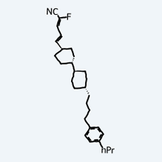 CCCc1ccc(CCCC[C@H]2CC[C@H]([C@H]3CC[C@H](C=CC=C(F)C#N)CC3)CC2)cc1